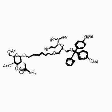 COc1ccc(C(OC[C@H](COCCCCCCCO[C@@H]2O[C@H](COC(C)=O)[C@H](OC(C)=O)[C@H](OC(C)=O)[C@H]2CC(N)=O)OP(CCC#N)N(C(C)C)C(C)C)(c2ccccc2)c2ccc(OC)cc2)cc1